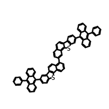 c1ccc(-c2c3ccccc3c(-c3ccc4c(c3)sc3c5cc(-c6cccc7c6ccc6c8cc(-c9c%10ccccc%10c(-c%10ccccc%10)c%10ccccc9%10)ccc8sc76)ccc5ccc43)c3ccccc23)cc1